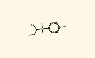 CCC(Cl)[Si](C)(C)c1ccc(F)cc1